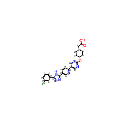 O=C(O)C[C@H]1CC[C@@H](Oc2ncc(-c3ccc(-c4nnc(-c5cccc(F)c5)[nH]4)cn3)cn2)CC1